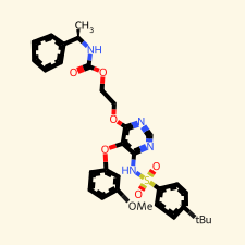 COc1cccc(Oc2c(NS(=O)(=O)c3ccc(C(C)(C)C)cc3)ncnc2OCCOC(=O)N[C@H](C)c2ccccc2)c1